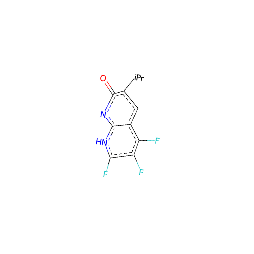 CC(C)c1cc2c(F)c(F)c(F)[nH]c-2nc1=O